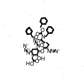 [N-]=[N+]=N[C@H]1C[C@@H](N=[N+]=[N-])[C@H](CC(=O)O)[C@H](O)[C@@H]1O[C@H]1O[C@H]([C@@H](COCc2ccccc2)N(Cc2ccccc2)C(=O)OCc2ccccc2)CC[C@H]1N=[N+]=[N-]